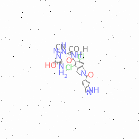 N#C/N=C(\NC[C@H](NC(=O)c1c(Cl)cc2c(c1Cl)CCN(C(=O)c1ccc3cn[nH]c3c1)C2)C(=O)O)N1C[C@@H](N)[C@H](O)C1